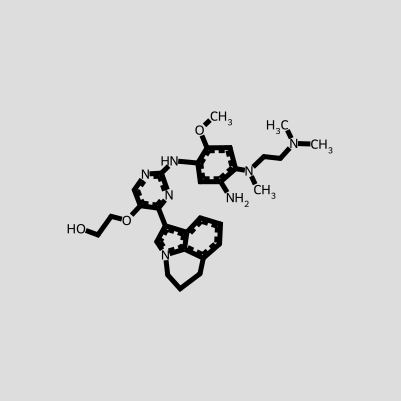 COc1cc(N(C)CCN(C)C)c(N)cc1Nc1ncc(OCCO)c(-c2cn3c4c(cccc24)CCC3)n1